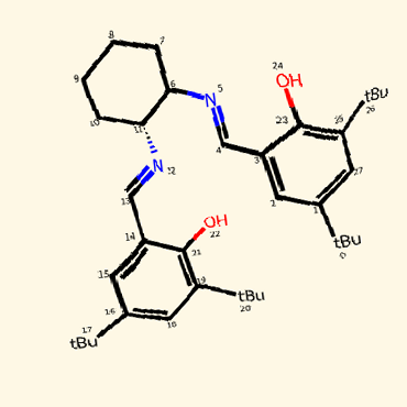 CC(C)(C)c1cc(C=NC2CCCC[C@H]2N=Cc2cc(C(C)(C)C)cc(C(C)(C)C)c2O)c(O)c(C(C)(C)C)c1